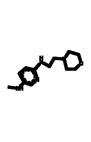 CNc1ccc(NCCN2CCOCC2)nc1